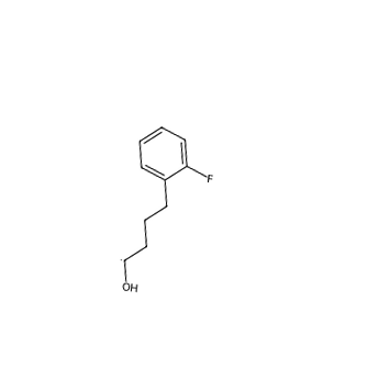 O[CH]CCCc1ccccc1F